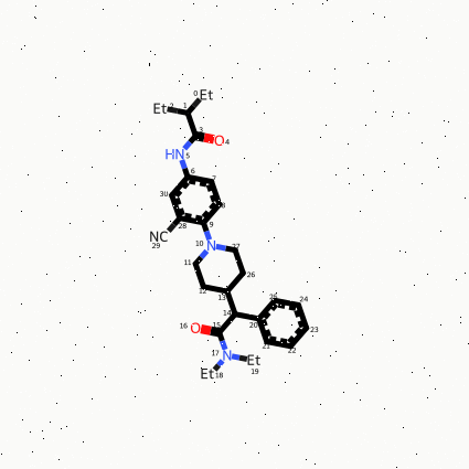 CCC(CC)C(=O)Nc1ccc(N2CCC(C(C(=O)N(CC)CC)c3ccccc3)CC2)c(C#N)c1